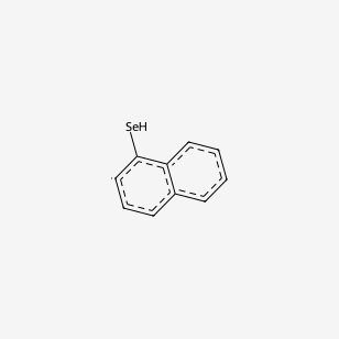 [SeH]c1[c]ccc2ccccc12